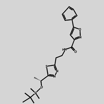 C[C@@H](O[Si](C)(C)C(C)(C)C)c1nnc(CCNC(=O)c2cc(-c3ccccc3)on2)s1